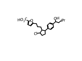 CC(C)CC(O)c1ccc(C2CCC(Cl)C2CCCc2ccc(C(=O)O)o2)cc1